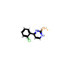 Pc1nccc(-c2ccccc2Cl)n1